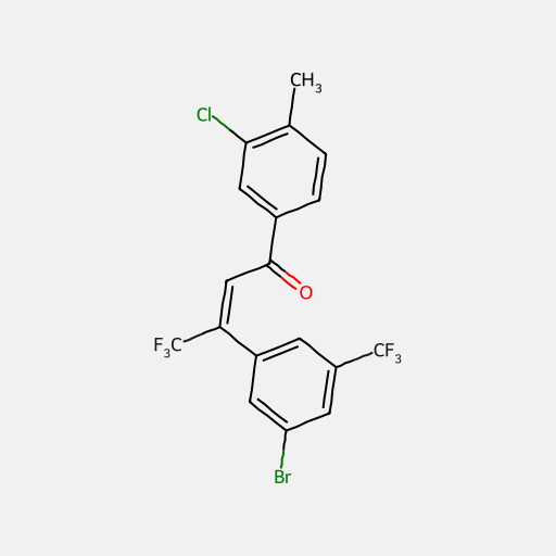 Cc1ccc(C(=O)/C=C(\c2cc(Br)cc(C(F)(F)F)c2)C(F)(F)F)cc1Cl